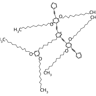 CCCCCCCCCCCCOc1cc(CCCCCCCCc2cc(C#Cc3cc(OCCCCCCCCCCCC)c(C#Cc4ccccc4)cc3OCCCCCCCCCCCC)sc2C#Cc2cc(OCCCCCCCCCCCC)c(C#Cc3ccccc3)cc2OCCCCCCCCCCCC)cc(OCCCCCCCCCCCC)c1